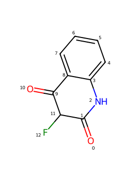 O=C1Nc2ccccc2C(=O)C1F